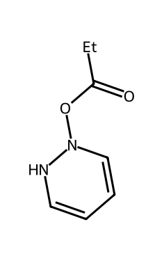 CCC(=O)ON1C=CC=CN1